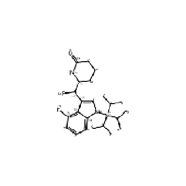 CC(C)[Si](C(C)C)(C(C)C)n1cc(C(F)[C@@H]2CCCC(=O)N2)c2c(F)cccc21